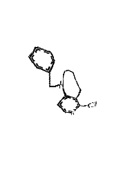 Clc1nccc2c1CCCN2Cc1ccccc1